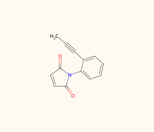 CC#Cc1ccccc1N1C(=O)C=CC1=O